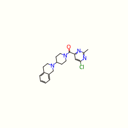 Cc1nc(Cl)cc(C(=O)N2CCC(N3CCc4ccccc4C3)CC2)n1